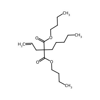 C=CCC(CCCCC)(C(=O)OCCCC)C(=O)OCCCC